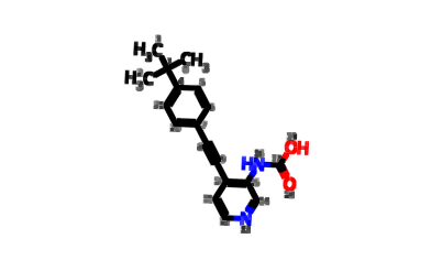 CC(C)(C)c1ccc(C#Cc2ccncc2NC(=O)O)cc1